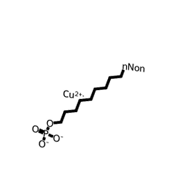 CCCCCCCCCCCCCCCCCCOP(=O)([O-])[O-].[Cu+2]